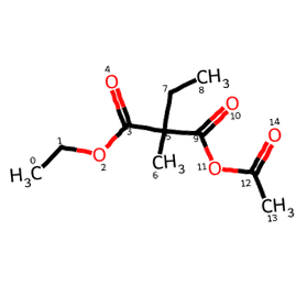 CCOC(=O)C(C)(CC)C(=O)OC(C)=O